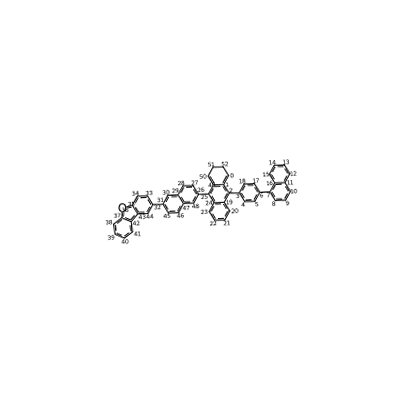 C1=c2c(-c3ccc(-c4cccc5ccccc45)cc3)c3ccccc3c(-c3ccc4cc(-c5ccc6oc7ccccc7c6c5)ccc4c3)c2=CCC1